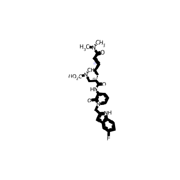 CN(C)C(=O)/C=C/CC[C@@H](CN(C)C(=O)O)C(=O)Nc1cccn(Cc2cc3cc(F)ccc3[nH]2)c1=O